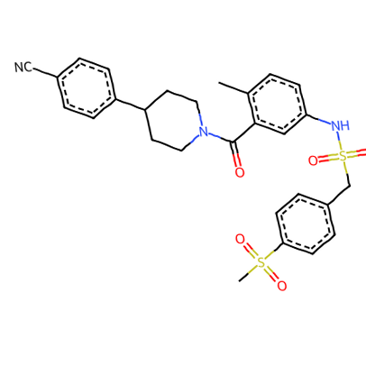 Cc1ccc(NS(=O)(=O)Cc2ccc(S(C)(=O)=O)cc2)cc1C(=O)N1CCC(c2ccc(C#N)cc2)CC1